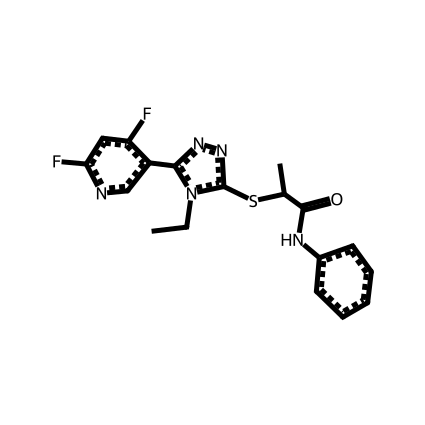 CCn1c(SC(C)C(=O)Nc2ccccc2)nnc1-c1cnc(F)cc1F